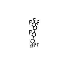 CCCC1CCC(c2ccc(-c3ccc4c(F)c(F)c(F)cc4c3)c(F)c2)CC1